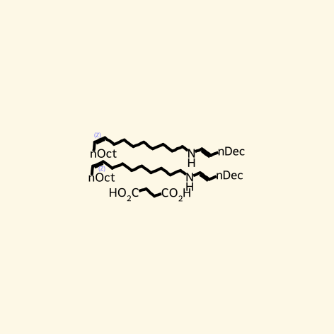 CCCCCCCC/C=C\CCCCCCCCNC=CCCCCCCCCCC.CCCCCCCC/C=C\CCCCCCCCNC=CCCCCCCCCCC.O=C(O)CCC(=O)O